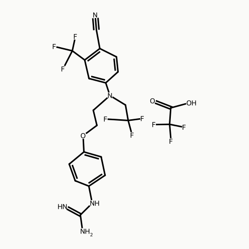 N#Cc1ccc(N(CCOc2ccc(NC(=N)N)cc2)CC(F)(F)F)cc1C(F)(F)F.O=C(O)C(F)(F)F